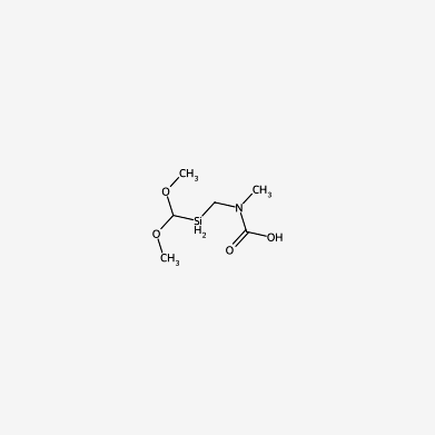 COC(OC)[SiH2]CN(C)C(=O)O